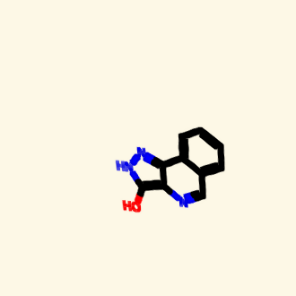 Oc1[nH]nc2c1ncc1ccccc12